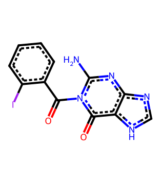 Nc1nc2nc[nH]c2c(=O)n1C(=O)c1ccccc1I